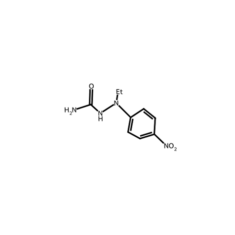 CCN(NC(N)=O)c1ccc([N+](=O)[O-])cc1